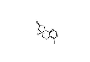 O=C1C[C@H]2COc3c(I)ccnc3N2C1